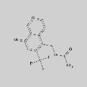 NC(=O)OCc1c2ccocc-2c(=O)cc1C(F)(F)F